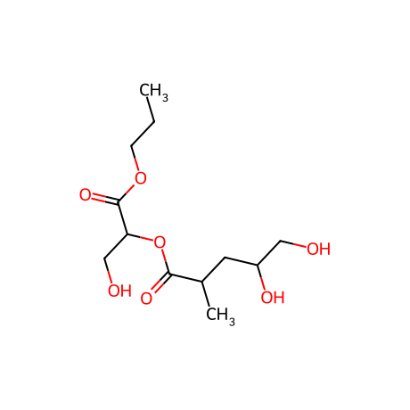 CCCOC(=O)C(CO)OC(=O)C(C)CC(O)CO